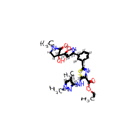 CCOC(=O)c1nc(-c2cccc(-c3cc([C@]4(O)CCN(C)C4=O)on3)c2)sc1Nc1nn(C)cc1C